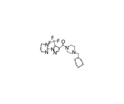 O=C(c1cnn(-c2ncccn2)c1C(F)(F)F)N1CCN(Cc2ccccc2)CC1